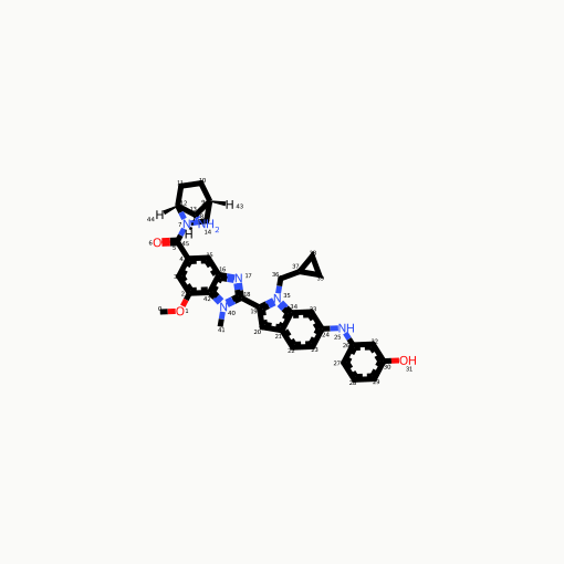 COc1cc(C(=O)N2C[C@H]3CC[C@@H]2[C@@H]3N)cc2nc(-c3cc4ccc(Nc5cccc(O)c5)cc4n3CC3CC3)n(C)c12